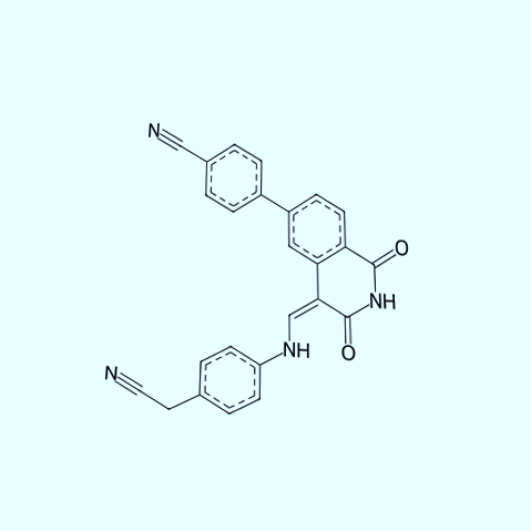 N#CCc1ccc(NC=C2C(=O)NC(=O)c3ccc(-c4ccc(C#N)cc4)cc32)cc1